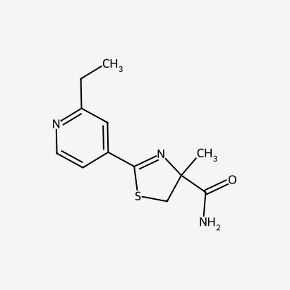 CCc1cc(C2=NC(C)(C(N)=O)CS2)ccn1